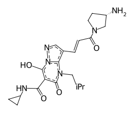 CC(C)Cn1c(=O)c(C(=O)NC2CC2)c(O)n2ncc(/C=C/C(=O)N3CC[C@H](N)C3)c12